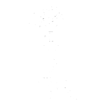 O=C1CCC(N2Cc3c(C#CCNC(O)c4ccc(NC(=O)[C@@H]5NC6(CCCCC6)[C@@]6(C(=O)Nc7cc(Cl)ccc76)[C@H]5c5cccc(Cl)c5F)cc4)cccc3C2=O)C(=O)N1